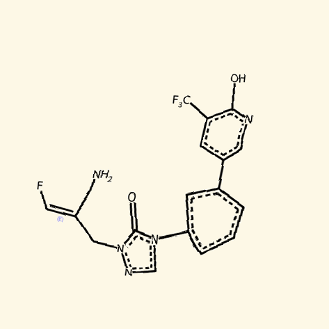 NC/C(=C\F)Cn1ncn(-c2cccc(-c3cnc(O)c(C(F)(F)F)c3)c2)c1=O